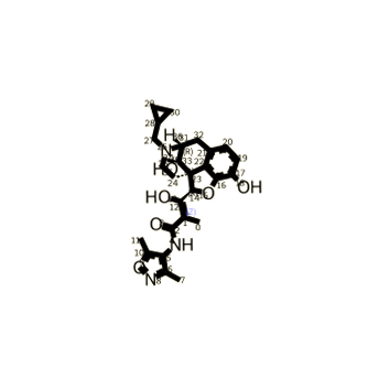 C/C(C(=O)Nc1c(C)noc1C)=C(/O)[C@@H]1Oc2c(O)ccc3c2[C@@]12CCN(CC1CC1)[C@H](C3)[C@@]2(C)O